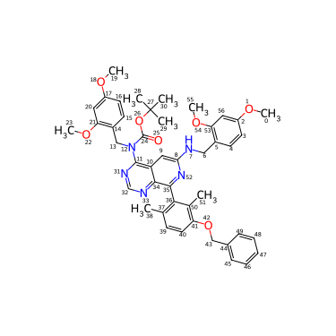 COc1ccc(CNc2cc3c(N(Cc4ccc(OC)cc4OC)C(=O)OC(C)(C)C)ncnc3c(-c3c(C)ccc(OCc4ccccc4)c3C)n2)c(OC)c1